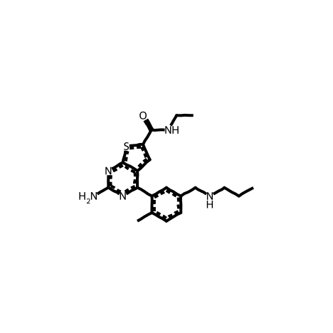 CCCNCc1ccc(C)c(-c2nc(N)nc3sc(C(=O)NCC)cc23)c1